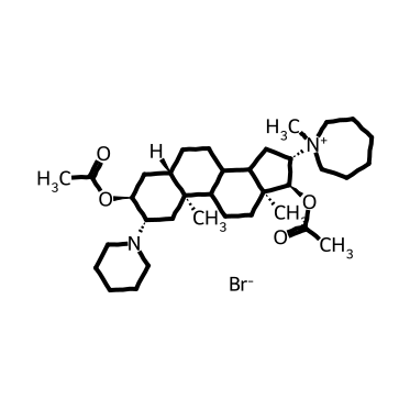 CC(=O)O[C@H]1C[C@@H]2CCC3C4C[C@H]([N+]5(C)CCCCCC5)[C@@H](OC(C)=O)[C@@]4(C)CCC3[C@@]2(C)C[C@@H]1N1CCCCC1.[Br-]